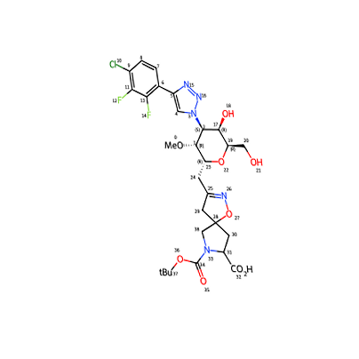 CO[C@@H]1[C@@H](n2cc(-c3ccc(Cl)c(F)c3F)nn2)[C@@H](O)[C@@H](CO)O[C@@H]1CC1=NOC2(C1)CC(C(=O)O)N(C(=O)OC(C)(C)C)C2